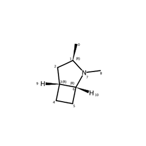 C[C@@H]1C[C@H]2CC[C@H]2N1C